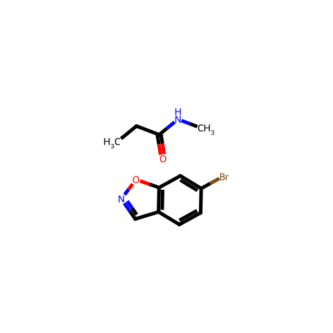 Brc1ccc2cnoc2c1.CCC(=O)NC